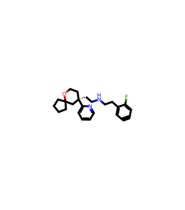 Fc1cc#ccc1CCNCC[C@@]1(c2ccccn2)CCOC2(CCCC2)C1